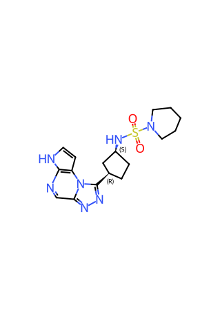 O=S(=O)(N[C@H]1CC[C@@H](c2nnc3cnc4[nH]ccc4n23)C1)N1CCCCC1